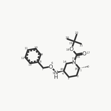 C[C@@H]1CC[C@@H](NOCc2ccccc2)CN1C(=O)OC(C)(C)C